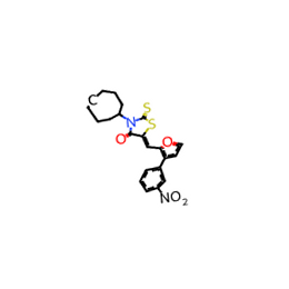 O=C1C(=Cc2occc2-c2cccc([N+](=O)[O-])c2)SC(=S)N1C1CCCCCCC1